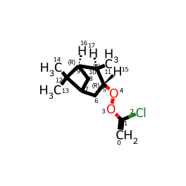 C=C(Cl)OO[C@@H]1CC2C[C@H]([C@H]1C)C2(C)C